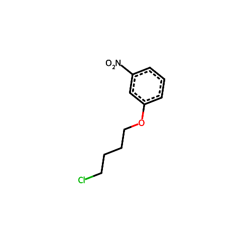 O=[N+]([O-])c1cccc(OCCCCCl)c1